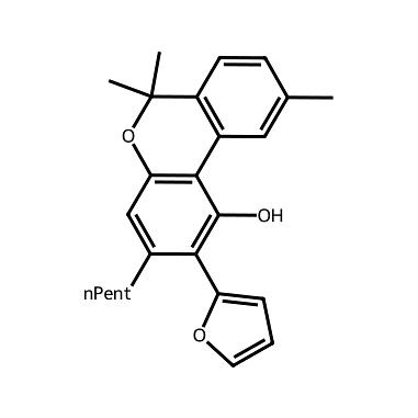 CCCCCc1cc2c(c(O)c1-c1ccco1)-c1cc(C)ccc1C(C)(C)O2